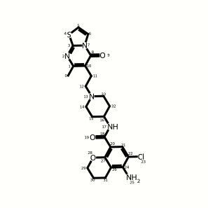 Cc1nc2sccn2c(=O)c1CCN1CCC(NC(=O)c2cc(Cl)c(N)c3c2OCCC3)CC1